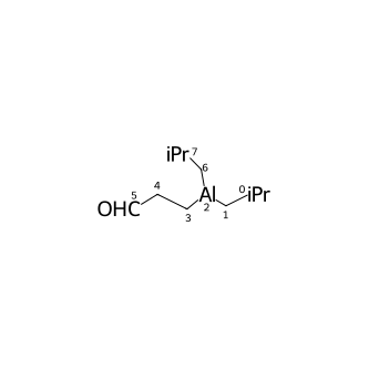 CC(C)[CH2][Al]([CH2]CC=O)[CH2]C(C)C